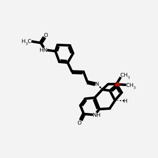 C/C=C1\[C@H]2C=C(C)C[C@]1(N=CC=Cc1cccc(NC(C)=O)c1)c1ccc(=O)[nH]c1C2